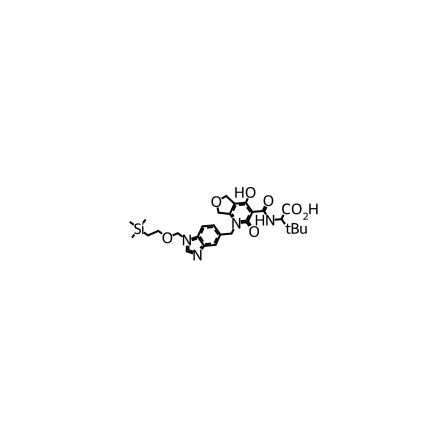 CC(C)(C)C(NC(=O)c1c(O)c2c(n(Cc3ccc4c(c3)ncn4COCC[Si](C)(C)C)c1=O)COC2)C(=O)O